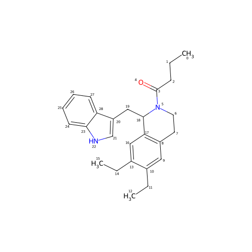 CCCC(=O)N1CCc2cc(CC)c(CC)cc2C1Cc1c[nH]c2ccccc12